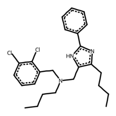 CCCCc1nc(-c2ccccc2)[nH]c1CN(CCCC)Cc1cccc(Cl)c1Cl